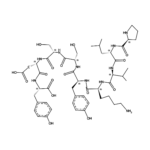 CC(C)C[C@H](NC(=O)[C@@H]1CCCN1)C(=O)N[C@H](C(=O)N[C@@H](CCCCN)C(=O)N[C@@H](Cc1ccc(O)cc1)C(=O)N[C@@H](CO)C(=O)N[C@@H](CO)C(=O)N[C@@H](CC(=O)O)C(=O)N[C@@H](Cc1ccc(O)cc1)C(=O)O)C(C)C